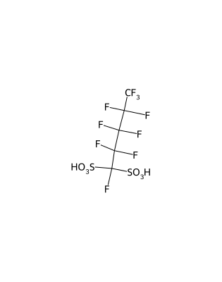 O=S(=O)(O)C(F)(C(F)(F)C(F)(F)C(F)(F)C(F)(F)F)S(=O)(=O)O